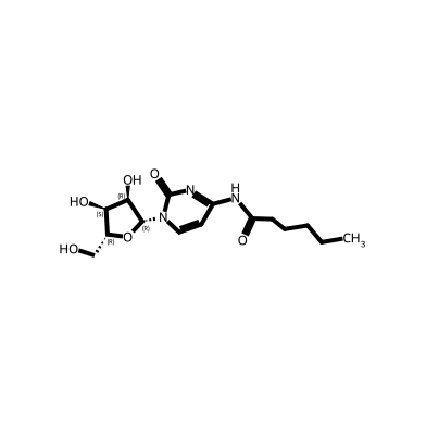 CCCCCC(=O)Nc1ccn([C@@H]2O[C@H](CO)[C@@H](O)[C@H]2O)c(=O)n1